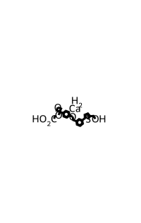 O=C(O)COC1(c2ccc(OCc3cccc(-c4ccc(CO)s4)c3)cc2)COC1.[CaH2]